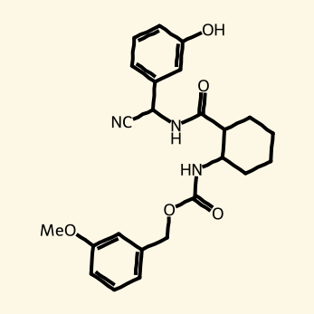 COc1cccc(COC(=O)NC2CCCCC2C(=O)NC(C#N)c2cccc(O)c2)c1